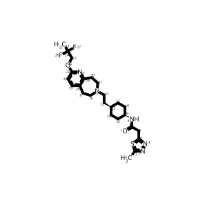 Cc1nnc(CC(=O)N[C@H]2CC[C@H](CCN3CCc4ccc(OCC(C)(F)F)nc4CC3)CC2)s1